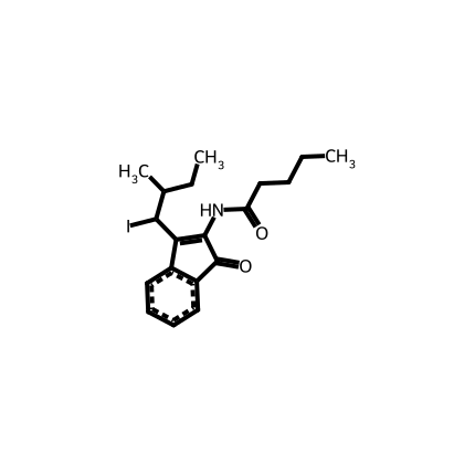 CCCCC(=O)NC1=C(C(I)C(C)CC)c2ccccc2C1=O